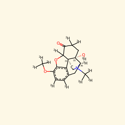 [2H]O[C@@]12CC([2H])([2H])C(=O)C3([2H])Oc4c(OC([2H])([2H])[2H])c([2H])c([2H])c5c4[C@@]31CCN(C([2H])([2H])[2H])[C@]2([2H])C5